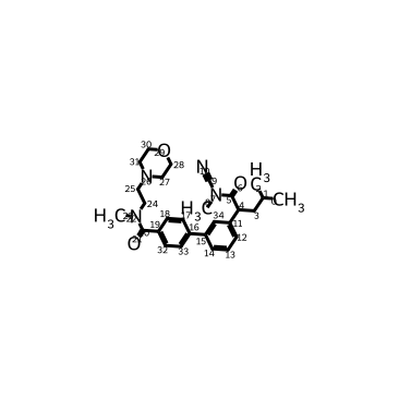 CC(C)CC(C(=O)N(C)C#N)c1cccc(-c2ccc(C(=O)N(C)CCN3CCOCC3)cc2)c1